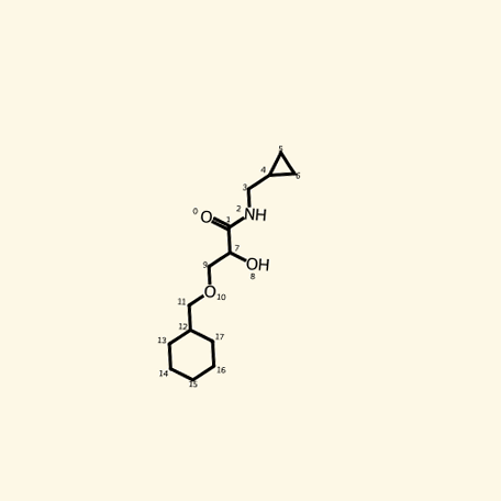 O=C(NCC1CC1)C(O)COCC1CCCCC1